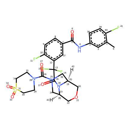 Cc1cc(NC(=O)c2ccc(F)c(C(F)(F)C(=O)N3[C@@H]4COC[C@H]3CN(C(=O)N3CCS(=O)(=O)CC3)C4)c2)ccc1F